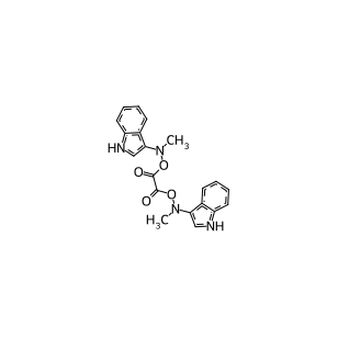 CN(OC(=O)C(=O)ON(C)c1c[nH]c2ccccc12)c1c[nH]c2ccccc12